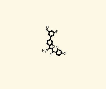 Nc1c(C(=O)c2ccc(Cl)cc2Cl)oc2cc(-c3cc(F)cc(N=O)c3)ccc12